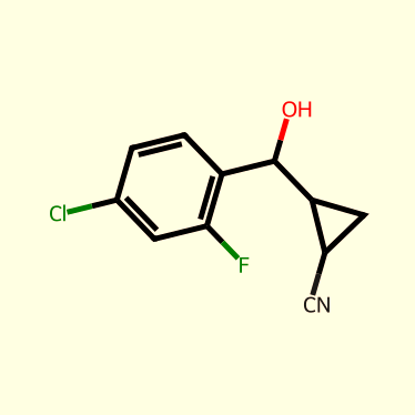 N#CC1CC1C(O)c1ccc(Cl)cc1F